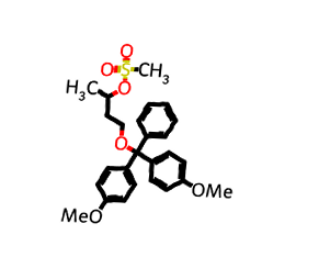 COc1ccc(C(OCCC(C)OS(C)(=O)=O)(c2ccccc2)c2ccc(OC)cc2)cc1